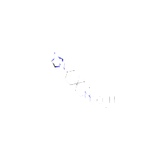 O=C(O)N1CCC2(CCC(n3ccnc3)CC2)CC1